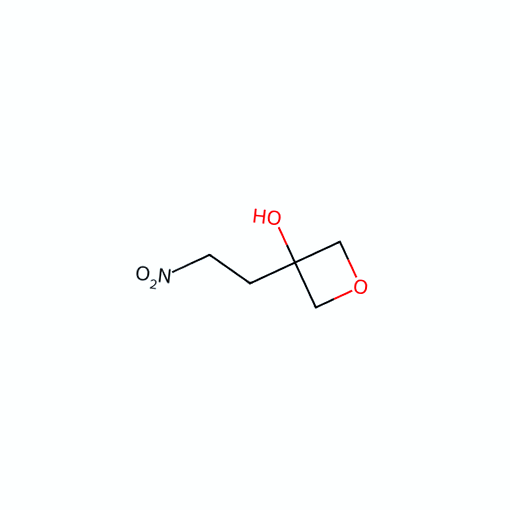 O=[N+]([O-])CCC1(O)COC1